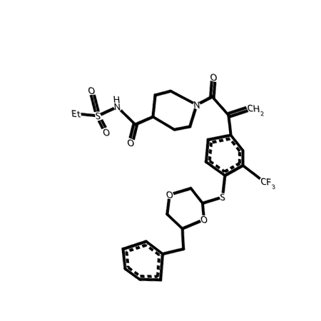 C=C(C(=O)N1CCC(C(=O)NS(=O)(=O)CC)CC1)c1ccc(SC2COCC(Cc3ccccc3)O2)c(C(F)(F)F)c1